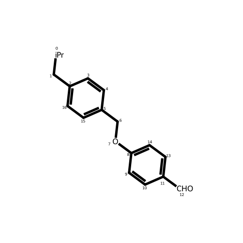 CC(C)Cc1ccc(COc2ccc(C=O)cc2)cc1